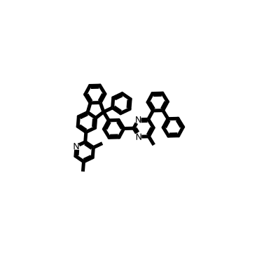 Cc1cnc(-c2ccc3c(c2)C(c2ccccc2)(c2cccc(-c4nc(C)cc(-c5ccccc5-c5ccccc5)n4)c2)c2ccccc2-3)c(C)c1